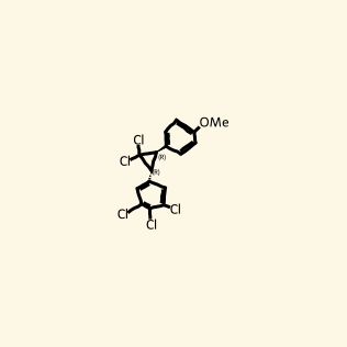 COc1ccc([C@H]2[C@H](c3cc(Cl)c(Cl)c(Cl)c3)C2(Cl)Cl)cc1